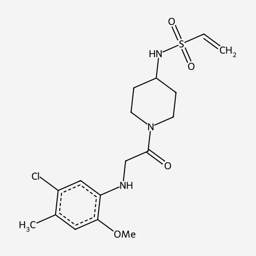 C=CS(=O)(=O)NC1CCN(C(=O)CNc2cc(Cl)c(C)cc2OC)CC1